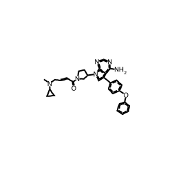 CN(C/C=C/C(=O)N1CCC(n2cc(-c3ccc(Oc4ccccc4)cc3)c3c(N)ncnc32)C1)C1CC1